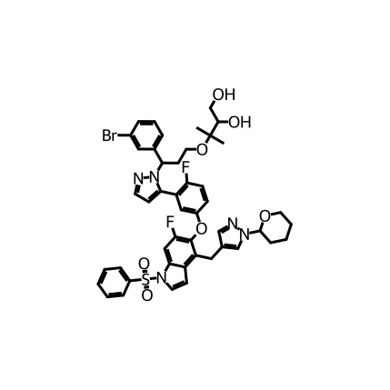 CC(C)(OCCC(c1cccc(Br)c1)n1nccc1-c1cc(Oc2c(F)cc3c(ccn3S(=O)(=O)c3ccccc3)c2Cc2cnn(C3CCCCO3)c2)ccc1F)C(O)CO